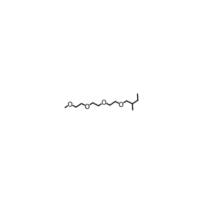 CCC(C)COCCOCCOCCOC